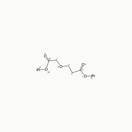 CC(C)OC(=O)CCOCC(=O)OC(C)C